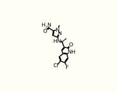 C[C@H](Nc1cc(C(N)=O)n(C)n1)c1cc2cc(Cl)c(F)cc2[nH]c1=O